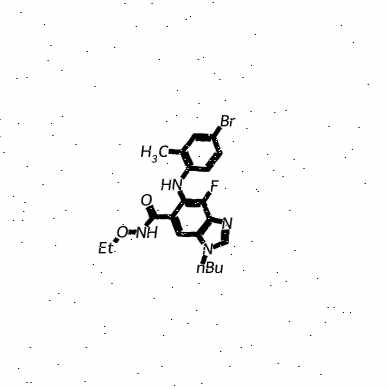 CCCCn1cnc2c(F)c(Nc3ccc(Br)cc3C)c(C(=O)NOCC)cc21